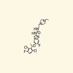 CCN1CCN(CCNC(=O)Nc2nc3cc(F)c(OC(C)c4c(Cl)ccc(F)c4Cl)cc3s2)CC1